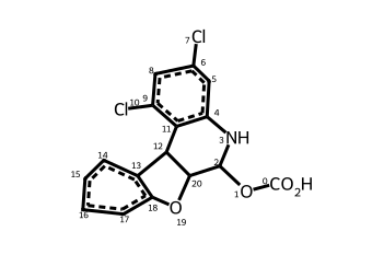 O=C(O)OC1Nc2cc(Cl)cc(Cl)c2C2c3ccccc3OC12